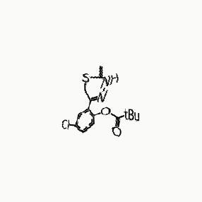 C=C1NN=C(c2cc(Cl)ccc2OC(=O)C(C)(C)C)CS1